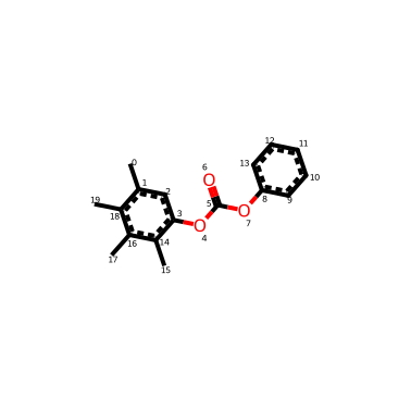 Cc1cc(OC(=O)Oc2ccccc2)c(C)c(C)c1C